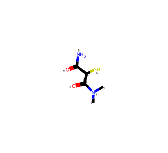 CN(C)C(=O)C(S)C(N)=O